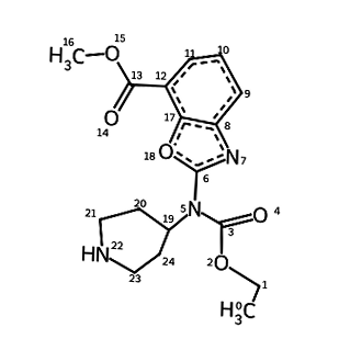 CCOC(=O)N(c1nc2cccc(C(=O)OC)c2o1)C1CCNCC1